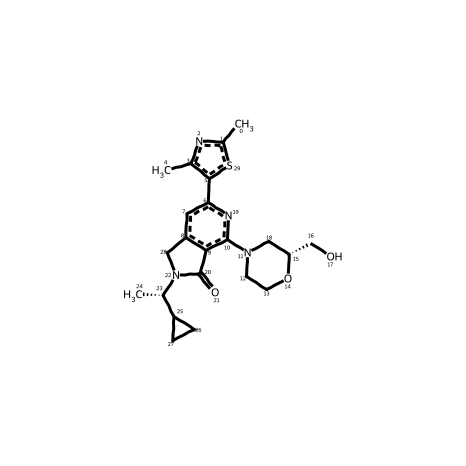 Cc1nc(C)c(-c2cc3c(c(N4CCO[C@@H](CO)C4)n2)C(=O)N([C@@H](C)C2CC2)C3)s1